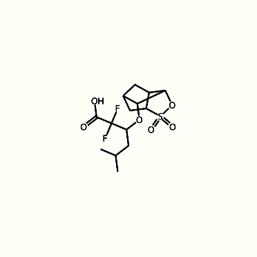 CC(C)CC(OC1C2CC3C1OS(=O)(=O)C3C2)C(F)(F)C(=O)O